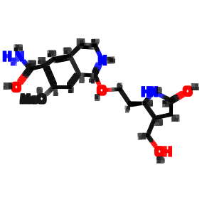 COc1cc2c(OCC[C@H]3NC(=O)CC3CO)nccc2cc1C(N)=O